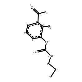 CCCNC(=O)Oc1cccc(C(C)=O)c1Br